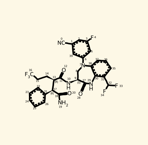 N#Cc1cc(F)cc(N2C[C@H](NC(=O)[C@H](CCC(F)(F)F)[C@@H](C(N)=O)c3ccccc3)C(=O)Nc3c(C(F)F)cccc32)c1